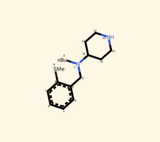 CCCCN(Cc1ccccc1SC)C1CCNCC1